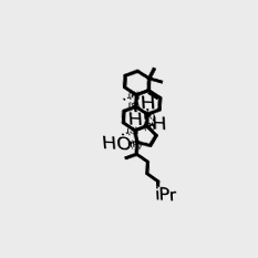 CC(C)CCCC(C)[C@]1(O)CC[C@H]2[C@@H]3CC=C4C(C)(C)CCC[C@]4(C)[C@H]3CC[C@@]21C